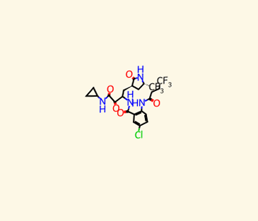 O=C(CCC(F)(F)F)Nc1ccc(Cl)cc1C(=O)NC(C[C@@H]1C[C@@H](C(F)(F)F)NC1=O)C(=O)C(=O)NC1CC1